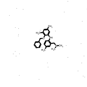 Cc1ccc(Pc2cc(C)cc(C)c2OCc2ccccc2)c(CN(C)C)c1